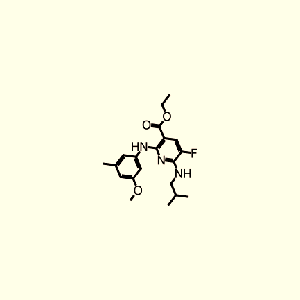 CCOC(=O)c1cc(F)c(NCC(C)C)nc1Nc1cc(C)cc(OC)c1